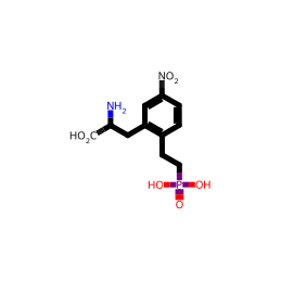 NC(Cc1cc([N+](=O)[O-])ccc1CCP(=O)(O)O)C(=O)O